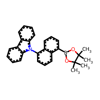 CC1(C)OB(c2cccc3c(-n4c5ccccc5c5ccccc54)cccc23)OC1(C)C